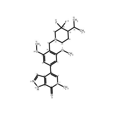 COc1cc(-c2cn(C)c(=O)c3[nH]ncc23)cc(OC)c1CN1CCC(C(C)C)C(F)(F)C1